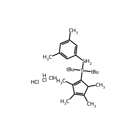 CC1=C(C)C(C)[C]([Ti]([SiH2]c2cc(C)cc(C)c2)([C](C)(C)C)[C](C)(C)C)=C1C.Cl.Cl.Cl